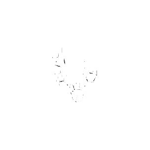 Cc1nccc(C(=O)NC23CCCC4CC2CC(c2nnc(-c5ccc(C(F)(F)F)nc5)o2)(C4)C3)n1